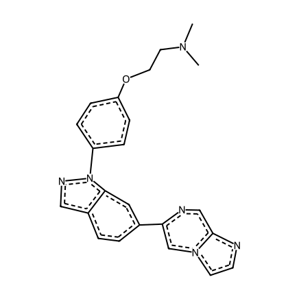 CN(C)CCOc1ccc(-n2ncc3ccc(-c4cn5ccnc5cn4)cc32)cc1